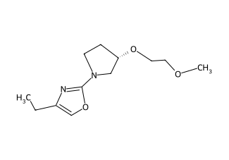 CCc1coc(N2CC[C@H](OCCOC)C2)n1